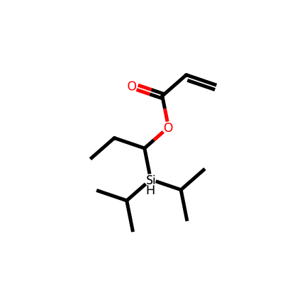 C=CC(=O)OC(CC)[SiH](C(C)C)C(C)C